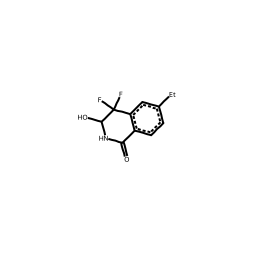 CCc1ccc2c(c1)C(F)(F)C(O)NC2=O